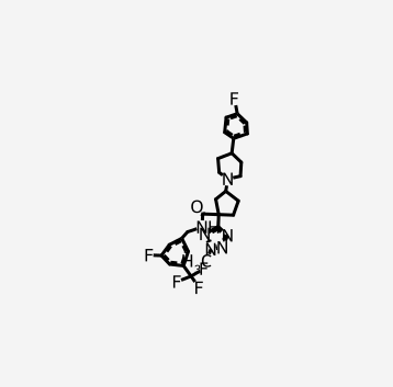 Cn1nnc(C2(C(=O)NCc3cc(F)cc(C(F)(F)F)c3)CCC(N3CCC(c4ccc(F)cc4)CC3)C2)n1